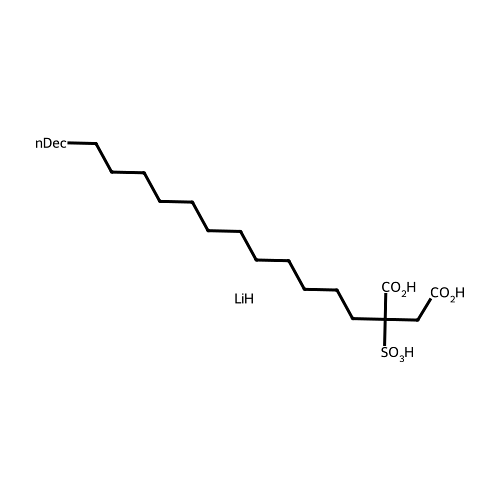 CCCCCCCCCCCCCCCCCCCCCCC(CC(=O)O)(C(=O)O)S(=O)(=O)O.[LiH]